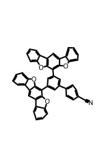 N#Cc1ccc(-c2cc(-c3c4oc5ccccc5c4cc4c3oc3ccccc34)cc(-c3c4oc5ccccc5c4cc4c3oc3ccccc34)c2)cc1